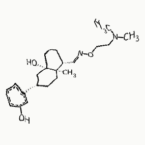 CN(C)CCO/N=C/[C@H]1CC[C@]2(O)C[C@@H](c3cccc(O)c3)CC[C@]12C